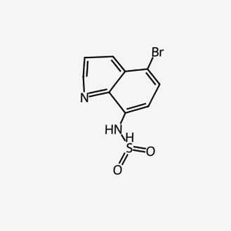 O=[SH](=O)Nc1ccc(Br)c2cccnc12